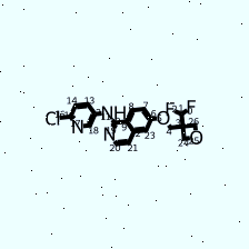 FC(F)C1(COc2ccc3c(Nc4ccc(Cl)nc4)nccc3c2)COC1